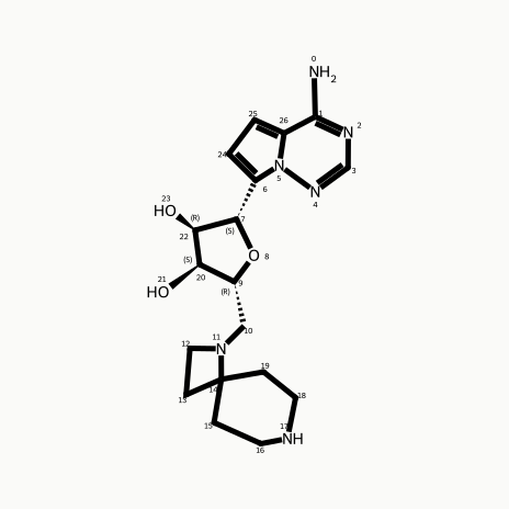 Nc1ncnn2c([C@@H]3O[C@H](CN4CCC45CCNCC5)[C@@H](O)[C@H]3O)ccc12